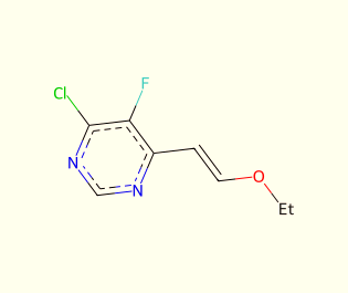 CCOC=Cc1ncnc(Cl)c1F